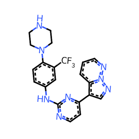 FC(F)(F)c1cc(Nc2nccc(-c3cnn4ncccc34)n2)ccc1N1CCNCC1